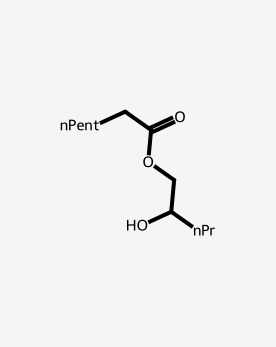 CCCCCCC(=O)OCC(O)CCC